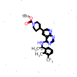 Cc1c([C@@H](C)Nc2ncnc3ncc(C4=CCN(C(=O)OC(C)(C)C)CC4)cc23)cccc1C(F)(F)F